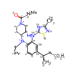 CNC(=O)N1CCC(N(CC(C)C)c2ccc([C@H](C)CC(=O)O)cc2Nc2nc(C(F)(F)F)ns2)CC1